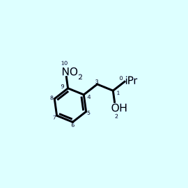 CC(C)C(O)Cc1ccccc1[N+](=O)[O-]